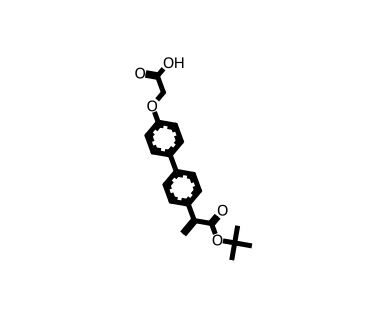 C=C(C(=O)OC(C)(C)C)c1ccc(-c2ccc(OCC(=O)O)cc2)cc1